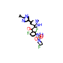 C=Nc1[nH]cc(C(=O)c2c(F)ccc(NS(=O)(=O)N3CC[C@H](F)C3)c2F)c1/C=C(\C)c1cnc(C2CC2)nc1